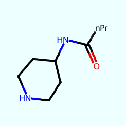 CCCC(=O)NC1CCNCC1